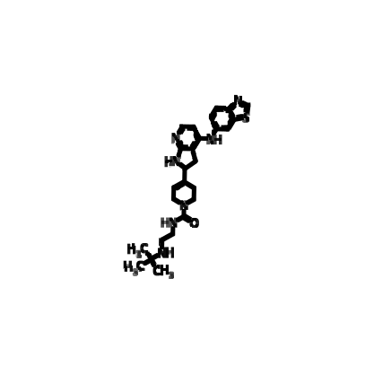 CC(C)(C)NCCNC(=O)N1CC=C(C2Cc3c(Nc4ccc5ncsc5c4)ccnc3N2)CC1